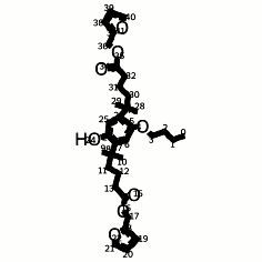 CCCCOc1cc(C(C)(C)CCCC(=O)OCc2ccco2)c(O)cc1C(C)(C)CCCC(=O)OCc1ccco1